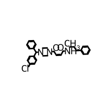 CC(CCc1ccccc1)NC(=O)/C=C\C(=O)N1CCN(C(c2ccccc2)c2ccc(Cl)cc2)CC1